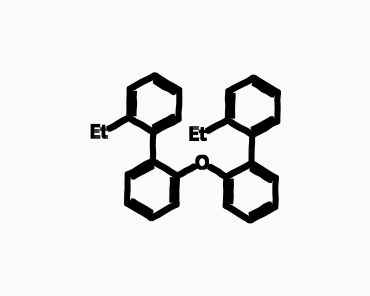 CCc1ccccc1-c1ccccc1Oc1ccccc1-c1ccccc1CC